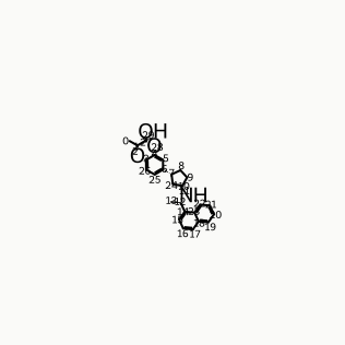 CC(Oc1ccc([C@@H]2CC[C@H](N[C@H](C)c3cccc4ccccc34)C2)cc1)C(=O)O